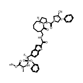 CCCOC(=O)[C@H](C)NP(=O)(Oc1ccccc1)[C@H](F)c1ccc2sc(C(=O)NCC3CCCC[C@H]4CC[C@@H](C(=O)N5C[C@@H](C#N)[C@H](c6ccccc6)C5)N4C3=O)cc2c1